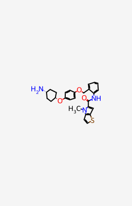 Cn1c(C(=O)Nc2ccccc2COc2ccc(O[C@H]3CC[C@@H](N)CC3)cc2)cc2sccc21